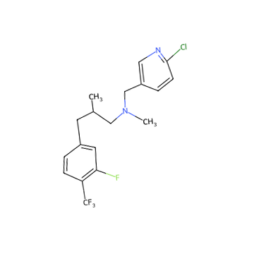 CC(Cc1ccc(C(F)(F)F)c(F)c1)CN(C)Cc1ccc(Cl)nc1